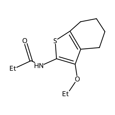 CCOc1c(NC(=O)CC)sc2c1CCCC2